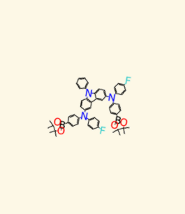 CC1(C)OB(c2ccc(N(c3ccc(F)cc3)c3ccc4c(c3)c3cc(N(c5ccc(F)cc5)c5ccc(B6OC(C)(C)C(C)(C)O6)cc5)ccc3n4-c3ccccc3)cc2)OC1(C)C